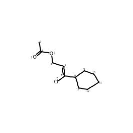 CC(=O)OCC=C(Cl)C1CCCCC1